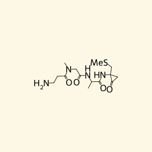 CSCC1(NC(=O)C(C)NC(=O)CN(C)C(=O)CCN)CC1=O